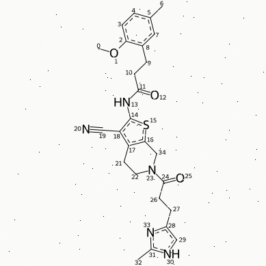 COc1ccc(C)cc1CCC(=O)Nc1sc2c(c1C#N)CCN(C(=O)CCc1c[nH]c(C)n1)C2